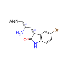 CN/C=C(N)/C=C1\C(=O)Nc2ccc(Br)cc21